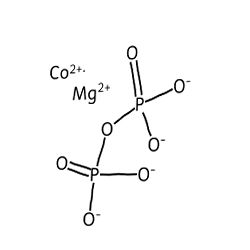 O=P([O-])([O-])OP(=O)([O-])[O-].[Co+2].[Mg+2]